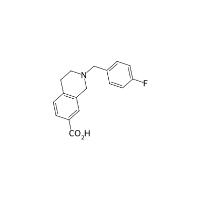 O=C(O)c1ccc2c(c1)CN(Cc1ccc(F)cc1)CC2